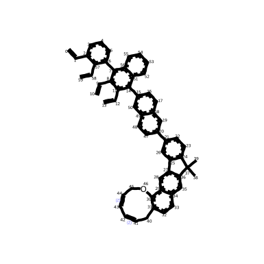 C=Cc1cccc(-c2c(C=C)c(C=C)c(-c3ccc4cc(-c5ccc6c(c5)-c5cc7c8c(ccc7cc5C6(C)C)C/C=C\C=C/CO8)ccc4c3)c3ccccc23)c1C=C